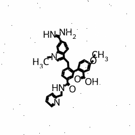 CCn1cc(Cc2ccc(C(=O)NCc3ccccn3)cc2-c2ccc(OC)cc2C(=O)O)c2ccc(C(=N)N)cc21